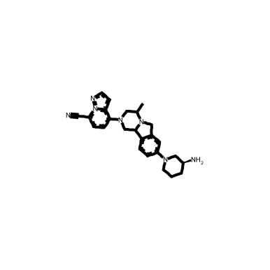 CC1CN(c2ccc(C#N)n3nccc23)CC2c3ccc(N4CCC[C@H](N)C4)cc3CN12